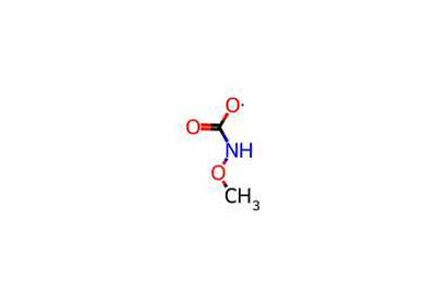 CONC([O])=O